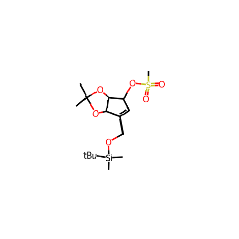 CC1(C)OC2C(CO[Si](C)(C)C(C)(C)C)=CC(OS(C)(=O)=O)C2O1